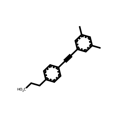 Cc1cc(C)cc(C#Cc2ccc(CCC(=O)O)cc2)c1